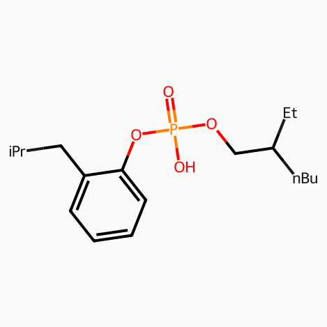 CCCCC(CC)COP(=O)(O)Oc1ccccc1CC(C)C